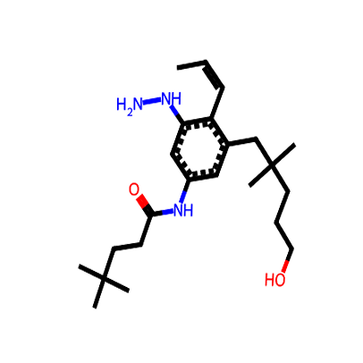 C/C=C\c1c(CC(C)(C)CCCO)cc(NC(=O)CCC(C)(C)C)cc1NN